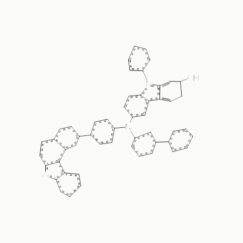 CC1C=c2c(c3cc(N(c4ccc(-c5ccc6ccc7oc8ccccc8c7c6c5)cc4)c4cccc(-c5ccccc5)c4)ccc3n2-c2ccccc2)=CC1